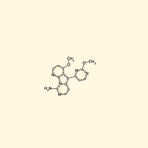 COc1nccc(-c2c3c(OC)ccnc3n3c(N)nccc23)n1